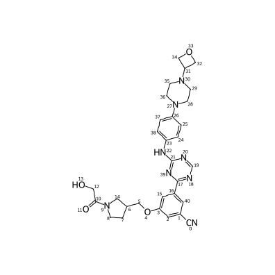 N#Cc1cc(OCC2CCN(C(=O)CO)C2)cc(-c2ncnc(Nc3ccc(N4CCN(C5COC5)CC4)cc3)n2)c1